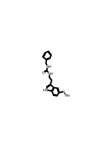 CC(C)(C)Sc1ccc2[nH]cc(CCNC(=O)NCc3ccccc3)c2c1